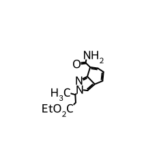 CCOC(=O)CC(C)n1cc2cccc(C(N)=O)c2n1